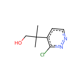 CC(C)(CO)c1ccnnc1Cl